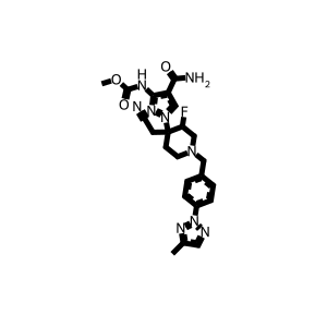 COC(=O)Nc1nn(C2(CC#N)CCN(Cc3ccc(-n4ncc(C)n4)cc3)CC2F)cc1C(N)=O